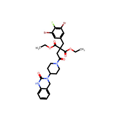 CCOC(=O)C(CC(=O)N1CCC(N2Cc3ccccc3NC2=O)CC1)(Cc1cc(Br)c(F)c(Br)c1)C(=O)OCC